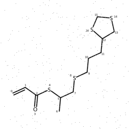 C=CC(=O)SC(C)CSCCCC1CSCS1